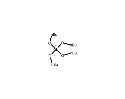 CCCC[O][SbH]([O]CCCC)([O]CCCC)[O]CCCC